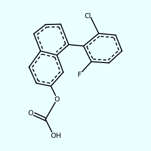 O=C(O)Oc1ccc2cccc(-c3c(F)cccc3Cl)c2c1